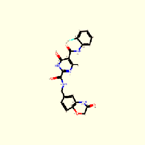 Cc1nc(C(=O)NCc2ccc3c(c2)NC(=O)CO3)[nH]c(=O)c1C(=O)Nc1ccccc1F